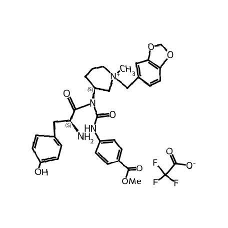 COC(=O)c1ccc(NC(=O)N(C(=O)[C@@H](N)Cc2ccc(O)cc2)[C@H]2CCC[N+](C)(Cc3ccc4c(c3)OCO4)C2)cc1.O=C([O-])C(F)(F)F